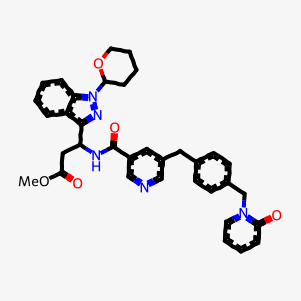 COC(=O)CC(NC(=O)c1cncc(Cc2ccc(Cn3ccccc3=O)cc2)c1)c1nn(C2CCCCO2)c2ccccc12